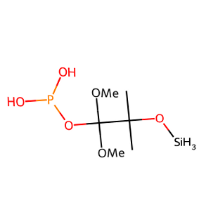 COC(OC)(OP(O)O)C(C)(C)O[SiH3]